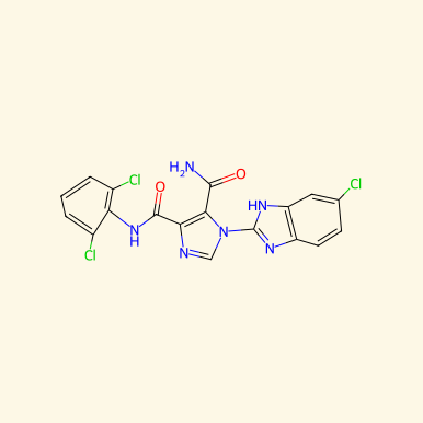 NC(=O)c1c(C(=O)Nc2c(Cl)cccc2Cl)ncn1-c1nc2ccc(Cl)cc2[nH]1